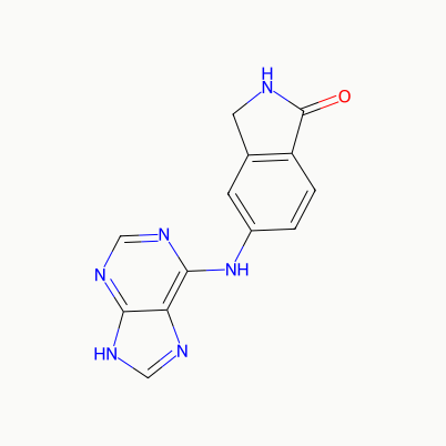 O=C1NCc2cc(Nc3ncnc4[nH]cnc34)ccc21